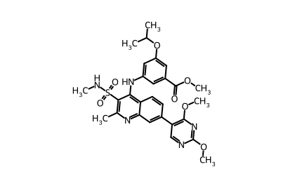 CNS(=O)(=O)c1c(C)nc2cc(-c3cnc(OC)nc3OC)ccc2c1Nc1cc(OC(C)C)cc(C(=O)OC)c1